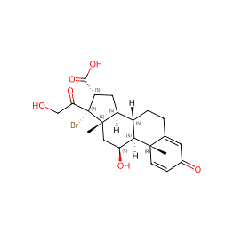 C[C@]12C=CC(=O)C=C1CC[C@@H]1[C@@H]2[C@@H](O)C[C@@]2(C)[C@H]1C[C@@H](C(=O)O)[C@]2(Br)C(=O)CO